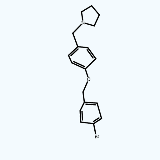 Brc1ccc(COc2ccc(CN3CCCC3)cc2)cc1